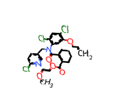 C=CCOc1cc(N(Cc2ccc(Cl)nc2)C(=O)C2=C(C(=O)OCCOC)CCCC2)c(Cl)cc1Cl